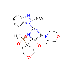 CNc1nc2ccccc2n1-c1nc2c(c(C3(S(C)(=O)=O)CCOCC3)n1)OCC1COCCN21